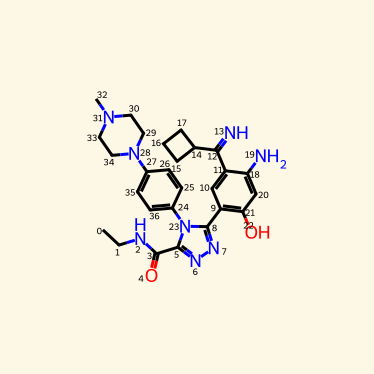 CCNC(=O)c1nnc(-c2cc(C(=N)C3CCC3)c(N)cc2O)n1-c1ccc(N2CCN(C)CC2)cc1